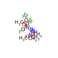 COC(C)N(Cc1[nH]nnc1CN1CCO[C@H](O[C@H](C)c2cc(C(F)(F)F)cc(C(F)(F)F)c2)[C@@H]1c1ccc(F)cc1)C(C)OC